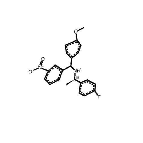 COc1ccc(C(N[C@H](C)c2ccc(F)cc2)c2cccc([N+](=O)[O-])c2)cc1